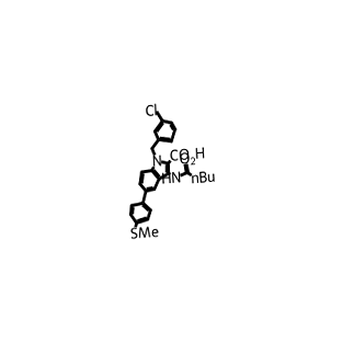 CCCCC(=O)Nc1c(C(=O)O)n(Cc2cccc(Cl)c2)c2ccc(-c3ccc(SC)cc3)cc12